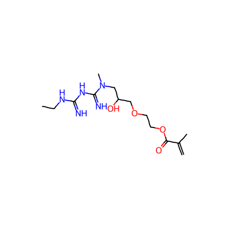 C=C(C)C(=O)OCCOCC(O)CN(C)C(=N)NC(=N)NCC